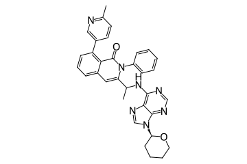 Cc1ccc(-c2cccc3cc(C(C)Nc4ncnc5c4ncn5[C@@H]4CCCCO4)n(-c4ccccc4)c(=O)c23)cn1